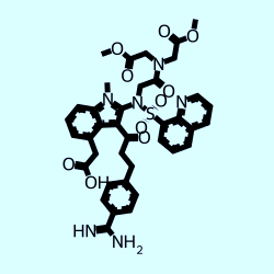 COC(=O)CN(CC(=O)OC)C(=O)CN(c1c(C(=O)CCc2ccc(C(=N)N)cc2)c2c(CC(=O)O)cccc2n1C)S(=O)(=O)c1cccc2cccnc12